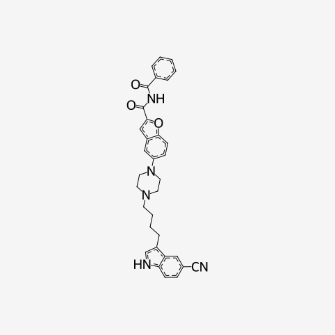 N#Cc1ccc2[nH]cc(CCCCN3CCN(c4ccc5oc(C(=O)NC(=O)c6ccccc6)cc5c4)CC3)c2c1